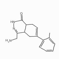 Cc1ccccc1C1=CCC2C(=O)NN=C(CN)C2C1